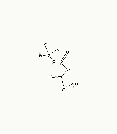 CCCCOC(=O)OC(=O)OC(C)(C)CC